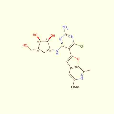 COc1cc2cc(-c3c(Cl)nc(N)nc3N[C@@H]3C[C@H](CO)[C@@H](O)[C@H]3O)oc2c(C)n1